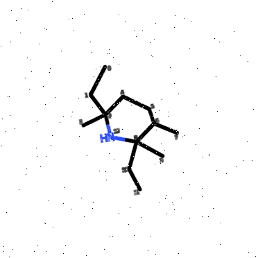 CCC1(C)CCC(C)C(C)(CC)N1